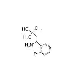 CC(C)(O)CC(N)c1ccccc1F